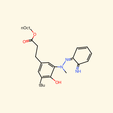 CCCCCCCCOC(=O)CCc1cc(N(C)/N=C2/C=CC=CC2=N)c(O)c(C(C)(C)C)c1